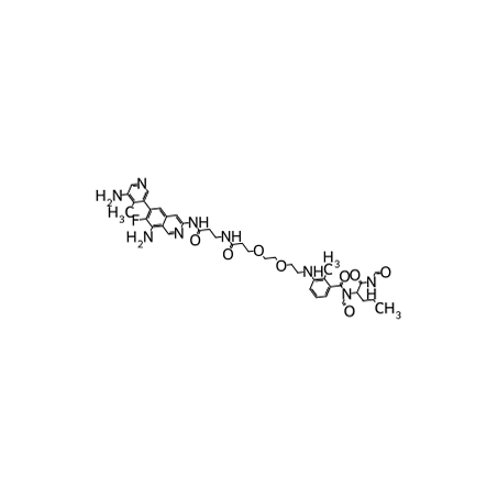 CCCC(C(=O)NC=O)N(C=O)C(=O)c1cccc(NCCOCCOCCC(=O)NCCC(=O)Nc2cc3cc(-c4cncc(N)c4C)c(F)c(N)c3cn2)c1C